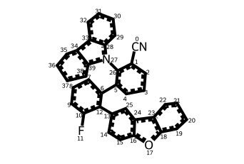 N#Cc1cccc(-c2cccc(F)c2-c2ccc3oc4ccccc4c3c2)c1-n1c2ccccc2c2ccccc21